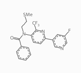 CSCCN(C(=O)c1ccccc1)c1ccc(-c2cncc(F)c2)nc1C(F)(F)F